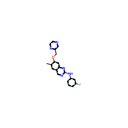 Cc1cc2cnc(Nc3cccc(F)c3)nc2cc1OCc1cnccn1